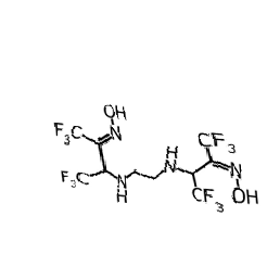 ON=C(C(NCCNC(C(=NO)C(F)(F)F)C(F)(F)F)C(F)(F)F)C(F)(F)F